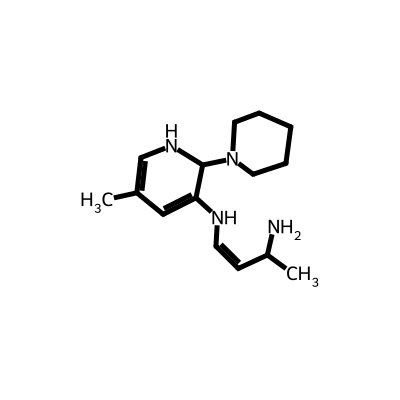 CC1=CNC(N2CCCCC2)C(N/C=C\C(C)N)=C1